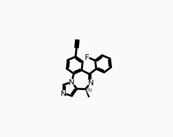 C#Cc1ccc2c(c1)C(c1ccccc1F)=N[C@@H](C)c1cncn1-2